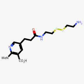 CNc1ncc(CCC(=O)NCCSSCCN)cc1C(=O)O